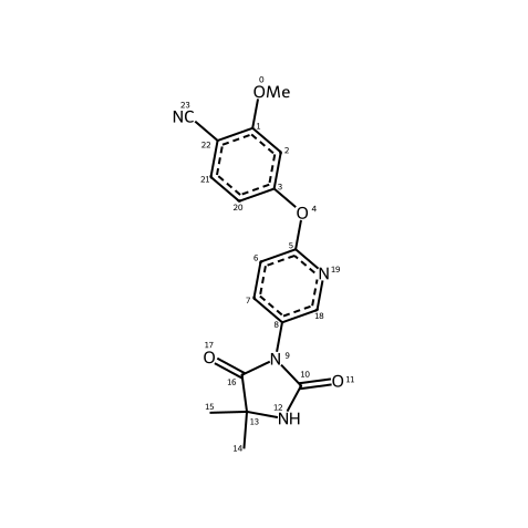 COc1cc(Oc2ccc(N3C(=O)NC(C)(C)C3=O)cn2)ccc1C#N